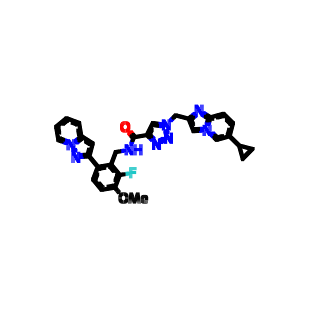 COc1ccc(-c2cc3ccccn3n2)c(CNC(=O)c2cn(Cc3cn4cc(C5CC5)ccc4n3)nn2)c1F